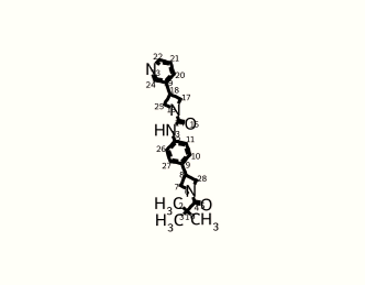 CC(C)(C)C(=O)N1CC(c2ccc(NC(=O)N3CC(c4cccnc4)C3)cc2)C1